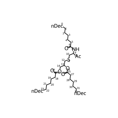 CCCCCCCCCCCCCCCC(=O)NC(CSCC(COC(=O)CCCCCCCCCCCCCCC)OC(=O)CCCCCCCCCCCCCCC)C(C)=O